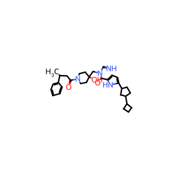 CC(CC(=O)N1CCC(O)(CN(C=N)C(=O)c2ccc(C3CCC(C4CCC4)C3)[nH]2)CC1)c1ccccc1